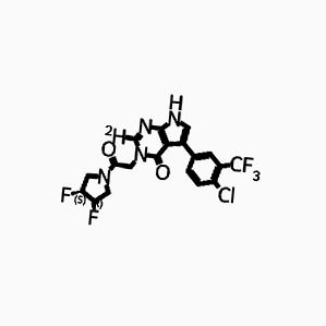 [2H]c1nc2[nH]cc(-c3ccc(Cl)c(C(F)(F)F)c3)c2c(=O)n1CC(=O)N1C[C@@H](F)[C@@H](F)C1